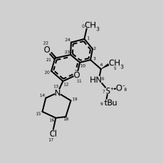 Cc1cc([C@@H](C)N[S+]([O-])C(C)(C)C)c2oc(N3CCC(Cl)CC3)cc(=O)c2c1